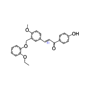 CCOc1ccccc1OCc1cc(/C=C/C(=O)c2ccc(O)cc2)ccc1OC